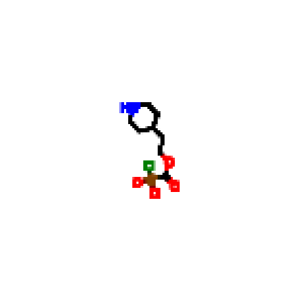 O=C(OCCC1CCNCC1)S(=O)(=O)Cl